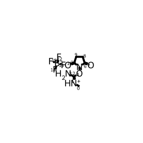 C/[NH+]=C(/N)ON1C(=O)CCC1=O.F[B-](F)(F)F